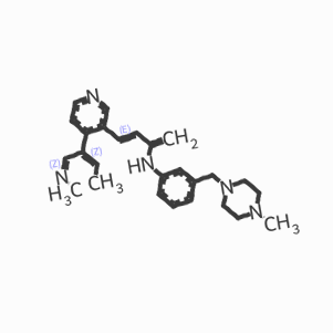 C=C(/C=C/c1cnccc1C(/C=N\C)=C/C)Nc1cccc(CN2CCN(C)CC2)c1